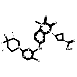 CNC(=O)[C@H]1C[C@H](n2c(=O)c(=O)n(C)c3ccc(Nc4nc(N5C[C@@H](C)C(F)(F)[C@@H](C)C5)ncc4Cl)cc32)C1